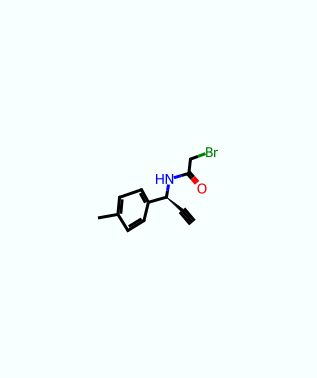 C#C[C@H](NC(=O)CBr)c1ccc(C)cc1